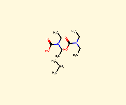 CCN(CC)C(=O)O.CCN(CC)C(=O)O.C[SiH2]C